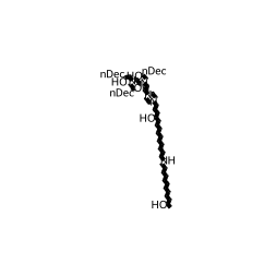 CCCCCCCCCCC(O)CN(CCN1CCN(CCCC(O)CCCCCCCCCCNCCCCCCCCCCC(C)O)CC1)CCN(CC(O)CCCCCCCCCC)CC(O)CCCCCCCCCC